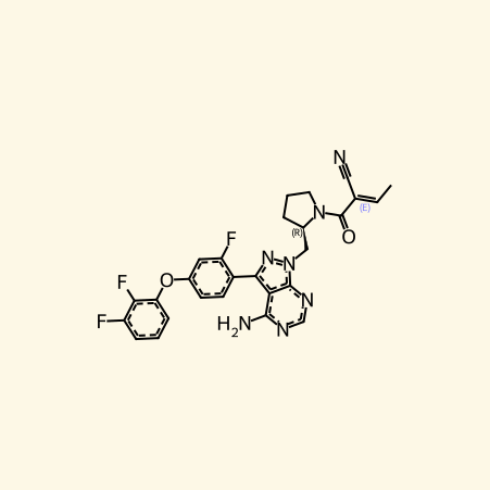 C/C=C(\C#N)C(=O)N1CCC[C@@H]1Cn1nc(-c2ccc(Oc3cccc(F)c3F)cc2F)c2c(N)ncnc21